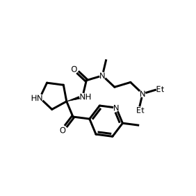 CCN(CC)CCN(C)C(=O)N[C@]1(C(=O)c2ccc(C)nc2)CCNC1